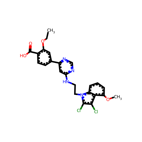 CCOc1cc(-c2cc(NCCn3c(Cl)c(Cl)c4c(OC)cccc43)ncn2)ccc1C(=O)O